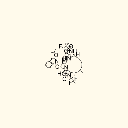 CC(C)Oc1cc2ccccc2c(O[C@@H]2C[C@H]3C(=O)N[C@]4(C(=O)NS(=O)(=O)C5(CF)CC5)C[C@H]4/C=C\CC[C@@H](C)C[C@@H](C)[C@H](N(C(=O)O)C(C)(C)C(C)(F)F)C(=O)N3C2)n1